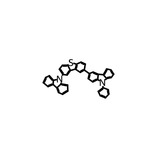 c1ccc(-n2c3ccccc3c3cc(-c4ccc5sc6ccc(-n7c8ccccc8c8ccccc87)cc6c5c4)ccc32)cc1